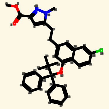 COC(=O)c1cc(CCc2cc(O[Si](c3ccccc3)(c3ccccc3)C(C)(C)C)c3ccc(Cl)cc3c2)n(C)n1